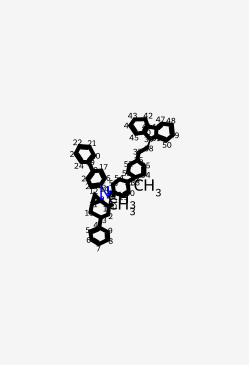 CC1CC(c2ccccc2)CC2CC12N(c1ccc(-c2ccccc2)cc1)C1(C)C=CC(C2(C)C=CC(CC[C@H]3C4=C(CCC=C4)c4ccccc43)CC2)CC1